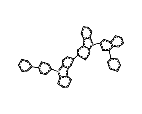 c1ccc(-c2ccc(-n3c4ccccc4c4cc(-c5ccc6c(c5)c5ccccc5n6-c5cc(-c6ccccc6)c6ccccc6c5)ccc43)cc2)cc1